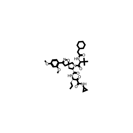 CCC[C@H](NC(=O)[C@@H]1C[C@]2(CC(c3ccc(OC)cc3OC)=NO2)CN1C(=O)[C@@H](NC(=O)CC1CCCCC1)C(C)(C)C)C(=O)C(=O)NC1CC1